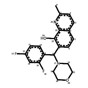 Cc1ccc2ccc(C(c3ccc(F)cc3F)N3CCOCC3)c(O)c2n1